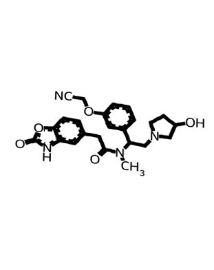 CN(C(=O)Cc1ccc2oc(=O)[nH]c2c1)C(CN1CCC(O)C1)c1cccc(OCC#N)c1